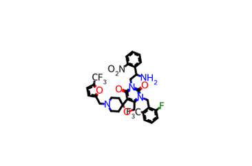 NC(Cn1c(=O)c2c(n(Cc3c(F)cccc3C(F)(F)F)c1=O)COC21CCN(Cc2ccc(C(F)(F)F)o2)CC1)c1ccccc1[N+](=O)[O-]